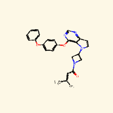 CC(C)=CC(=O)N1CC(n2ccc3ncnc(Oc4ccc(Oc5ccccc5)cc4)c32)C1